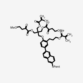 C=C(C)C(=O)OCCCc1cc(-c2ccc3cc(CCCCC)ccc3c2)ccc1OCC(COC(=O)C(=C)C)(COC(=O)C(=O)CCOC)COC(=O)C(=O)CCOC